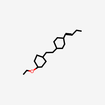 CCC=CC1CCC(CCC2CCC(OCC)CC2)CC1